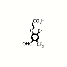 O=Cc1cc(OCCC(=O)O)c(Br)cc1C(F)(F)F